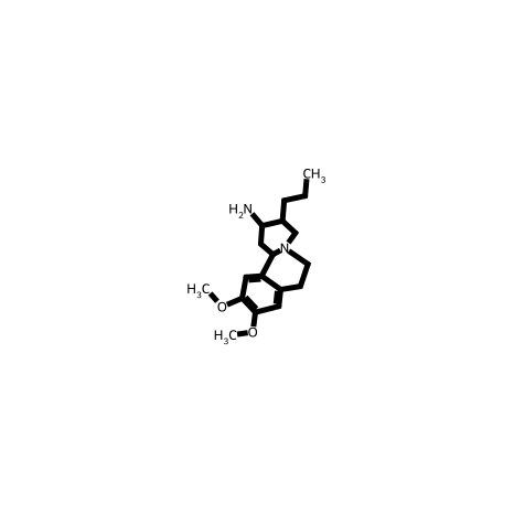 CCCC1CN2CCc3cc(OC)c(OC)cc3C2CC1N